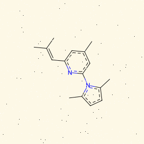 CC(C)=Cc1cc(C)cc(-n2c(C)ccc2C)n1